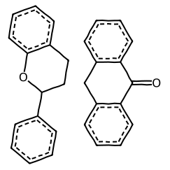 O=C1c2ccccc2Cc2ccccc21.c1ccc(C2CCc3ccccc3O2)cc1